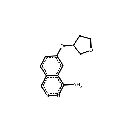 Nc1nncc2ccc(O[C@H]3CCOC3)cc12